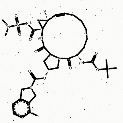 CN(C)S(=O)(=O)NC(=O)[C@@]12C[C@H]1/C=C\CCCCC[C@H](NC(=O)OC(C)(C)C)C(=O)N1C[C@H](OC(=O)N3Cc4cccc(F)c4C3)CC1C(=O)N2